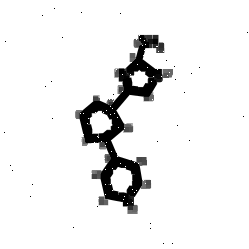 Nc1nc(-c2cccc(-c3ccncc3)c2)cs1